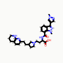 Cn1cc(-c2nn(C)c3c(C(=O)NC(CCN4CCC(CCc5ccc6c(n5)NCCC6)C4)C(=O)O)cccc23)cn1